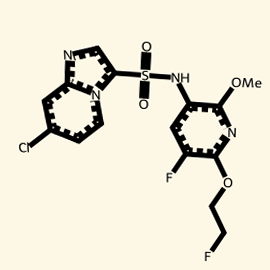 COc1nc(OCCF)c(F)cc1NS(=O)(=O)c1cnc2cc(Cl)ccn12